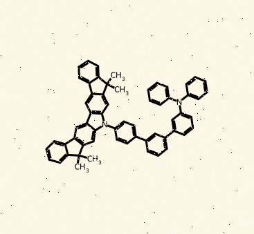 CC1(C)c2ccccc2-c2cc3c4cc5c(cc4n(-c4ccc(-c6cccc(-c7cccc(N(c8ccccc8)c8ccccc8)c7)c6)cc4)c3cc21)C(C)(C)c1ccccc1-5